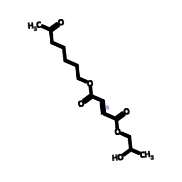 CC(=O)CCCCCOC(=O)/C=C/C(=O)OCC(C)O